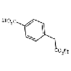 CCOC(=O)Cc1ccc(C(=O)OCC)cc1